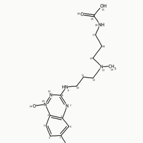 Cc1ccc2c(c1)nc(NCCCN(C)CCCNC(=O)O)n[n+]2[O-]